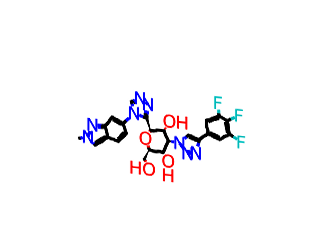 Cn1cc2ccc(-n3cnnc3[C@@H]3O[C@H](CO)[C@H](O)[C@H](n4cc(-c5cc(F)c(F)c(F)c5)nn4)[C@H]3O)cc2n1